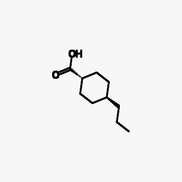 CCC[C@H]1CC[C@H](C(=O)O)CC1